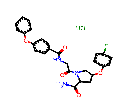 Cl.NC(=O)C1CC(Oc2ccc(F)cc2)CN1C(=O)CNC(=O)c1ccc(Oc2ccccc2)cc1